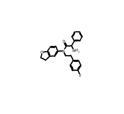 NC(C(=O)N(CCc1ccc(F)cc1)c1ccc2c(c1)CCO2)c1ccccc1